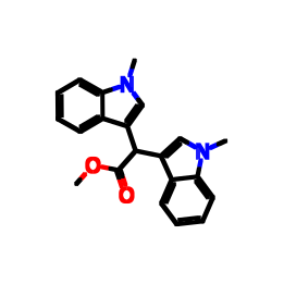 COC(=O)C(c1cn(C)c2ccccc12)c1cn(C)c2ccccc12